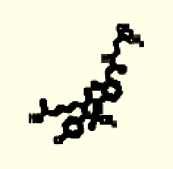 CC(C)CCNC(=O)Cn1cccc(NC(=O)C(CCC=CC(=O)O)N(c2ccc(Cl)cc2)S(C)(=O)=O)c1=O